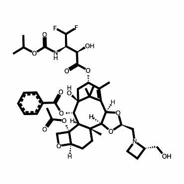 CC(=O)O[C@@]12CO[C@@H]1CC[C@@]1(C)[C@@H]3O[C@H](CN4CC[C@H]4CO)O[C@@H]3C3=C(C)[C@@H](OC(=O)[C@H](O)[C@@H](NC(=O)OC(C)C)C(F)F)C[C@@](O)([C@@H](OC(=O)c4ccccc4)[C@@H]12)C3(C)C